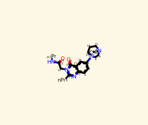 CCCc1nc2ccc(N3CCN4CCC3CC4)cc2c(=O)n1CC(=O)NC(C)C